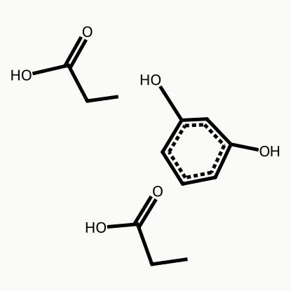 CCC(=O)O.CCC(=O)O.Oc1cccc(O)c1